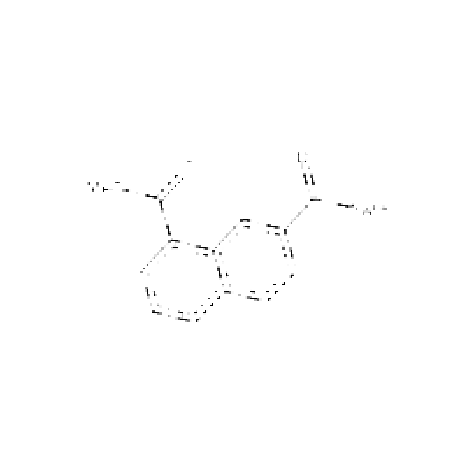 CNC(=O)c1ccc2cccc(C(=O)OC)c2c1